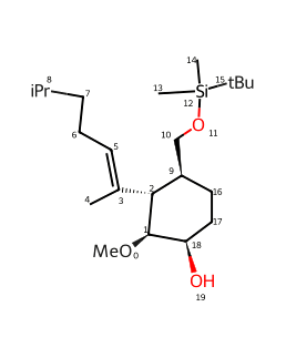 CO[C@H]1[C@H](/C(C)=C/CCC(C)C)[C@@H](CO[Si](C)(C)C(C)(C)C)CC[C@H]1O